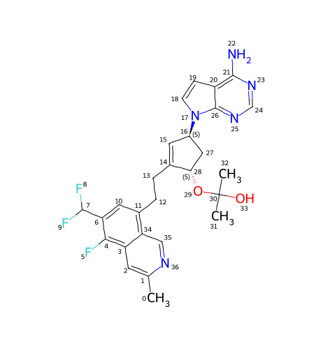 Cc1cc2c(F)c(C(F)F)cc(CCC3=C[C@@H](n4ccc5c(N)ncnc54)C[C@@H]3OC(C)(C)O)c2cn1